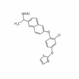 CC(=O)NC(C)c1ccc2cc(Oc3ccc(Oc4nccs4)cc3Cl)ccc2c1